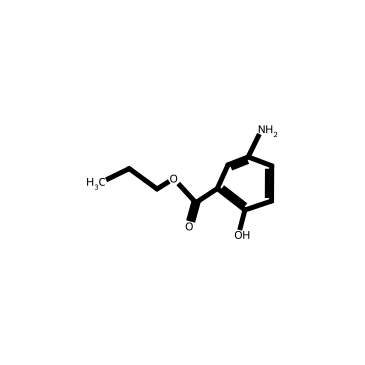 CCCOC(=O)c1cc(N)ccc1O